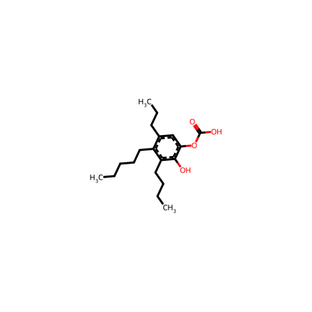 CCCCCc1c(CCC)cc(OC(=O)O)c(O)c1CCCC